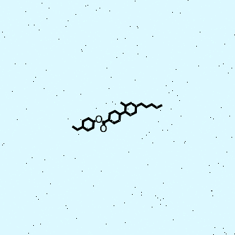 CCCCCC1CCC(C2CCC(C(=O)OC3CCC(CC)CC3)CC2)C(C)C1